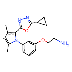 Cc1[c]c(C)n(-c2cccc(OCCN)c2)c1-c1nnc(C2CC2)o1